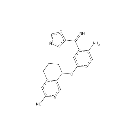 N#Cc1cc2c(cn1)C(Oc1ccc(N)c(C(=N)c3cnco3)c1)CCC2